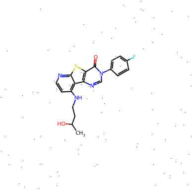 CC(O)CCNc1ccnc2sc3c(=O)n(-c4ccc(F)cc4)cnc3c12